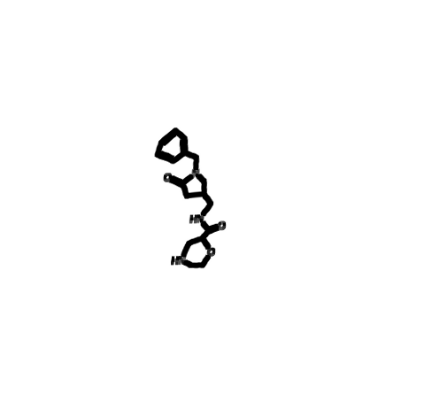 O=C(NCC1CC(=O)N(Cc2ccccc2)C1)C1CNCCO1